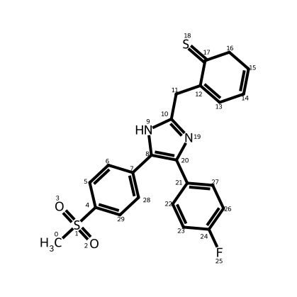 CS(=O)(=O)c1ccc(-c2[nH]c(CC3=CC=CCC3=S)nc2-c2ccc(F)cc2)cc1